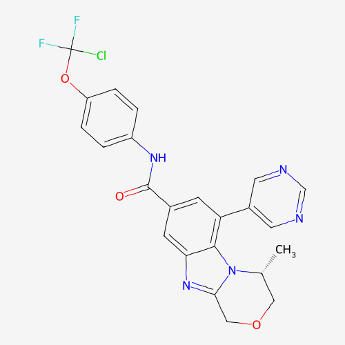 C[C@@H]1COCc2nc3cc(C(=O)Nc4ccc(OC(F)(F)Cl)cc4)cc(-c4cncnc4)c3n21